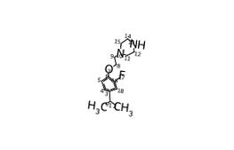 CC(C)c1ccc(OCCN2CCNCC2)c(F)c1